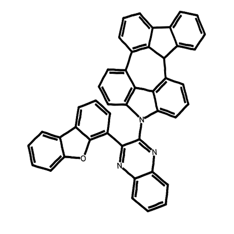 c1ccc2c(c1)-c1cccc3c1C2c1cccc2c1c1c-3cccc1n2-c1nc2ccccc2nc1-c1cccc2c1oc1ccccc12